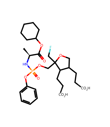 C[C@H](NP(=O)(OCC1(CF)OCC(CCC(=O)O)C1CCC(=O)O)Oc1ccccc1)C(=O)OC1CCCCC1